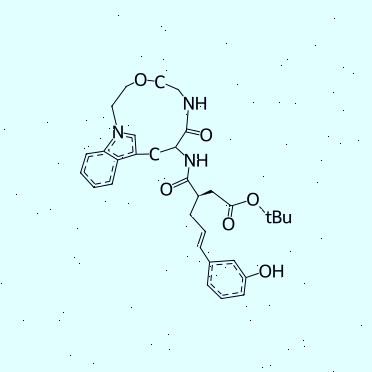 CC(C)(C)OC(=O)C[C@@H](CC=Cc1cccc(O)c1)C(=O)NC1Cc2cn(c3ccccc23)CCOCCNC1=O